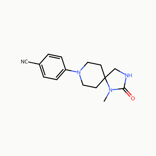 CN1C(=O)NCC12CCN(c1ccc(C#N)cc1)CC2